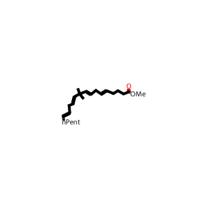 CCCCCC=CCC=CC(C)(C)C=CCC=CCCCC(=O)OC